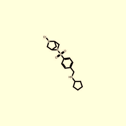 CCN1CC2CC1CN2S(=O)(=O)c1ccc(CNC2CCCC2)cc1